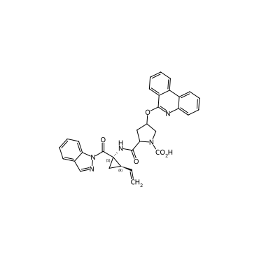 C=C[C@H]1C[C@@]1(NC(=O)C1CC(Oc2nc3ccccc3c3ccccc23)CN1C(=O)O)C(=O)n1ncc2ccccc21